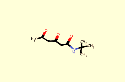 CC(=O)CC(=O)CC(=O)NC(C)(C)C